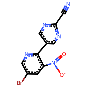 N#Cc1ncc(-c2ncc(Br)cc2[N+](=O)[O-])cn1